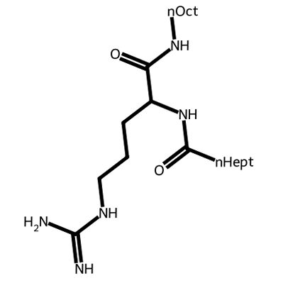 CCCCCCCCNC(=O)C(CCCNC(=N)N)NC(=O)CCCCCCC